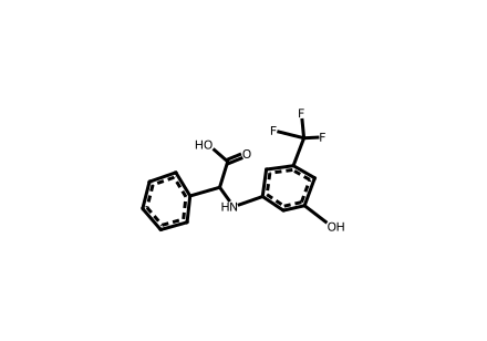 O=C(O)C(Nc1cc(O)cc(C(F)(F)F)c1)c1ccccc1